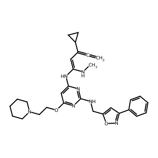 C=C=C(/C=C(\NC)Nc1cc(OCCN2CCCCC2)nc(NCc2cc(-c3ccccc3)no2)n1)C1CC1